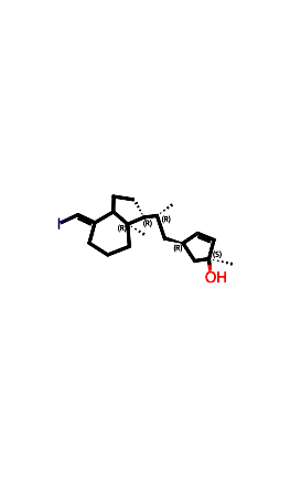 C[C@H](C[C@H]1C=C[C@@](C)(O)C1)[C@H]1CCC2C(=CI)CCC[C@@]21C